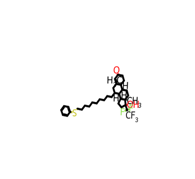 C[C@]12CCC(=O)C=C1CC(CCCCCCCCCCSc1ccccc1)[C@@H]1[C@H]2CC[C@@]2(C)[C@H]1CCC2(O)C(F)(F)C(F)(F)F